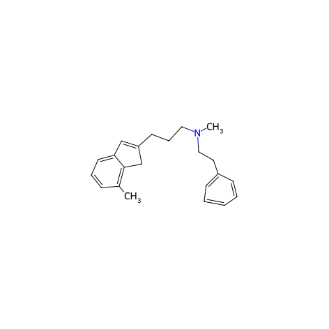 Cc1cccc2c1CC(CCCN(C)CCc1ccccc1)=C2